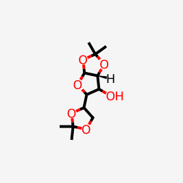 CC1(C)OCC(C2OC3OC(C)(C)O[C@@H]3C2O)O1